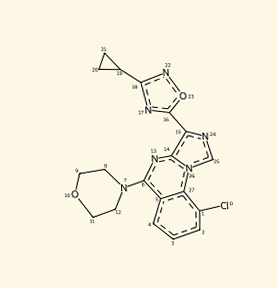 Clc1cccc2c(N3CCOCC3)nc3c(-c4nc(C5CC5)no4)ncn3c12